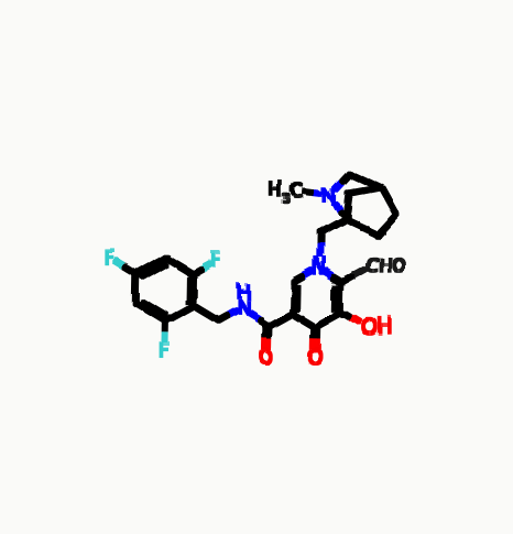 CN1CC2CCC1(Cn1cc(C(=O)NCc3c(F)cc(F)cc3F)c(=O)c(O)c1C=O)C2